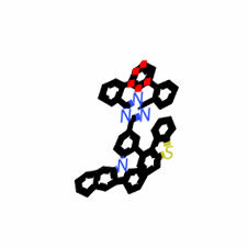 c1ccc(-c2ccccc2-c2nc(-c3ccc(-n4c5ccccc5c5cc6ccccc6cc54)c(-c4cccc5sc6ccccc6c45)c3)nc(-c3ccccc3-c3ccccc3)n2)cc1